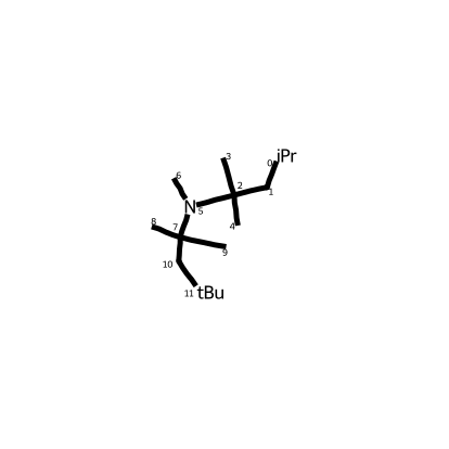 CC(C)CC(C)(C)N(C)C(C)(C)CC(C)(C)C